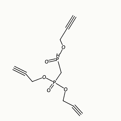 C#CCO[PH](=O)CP(=O)(OCC#C)OCC#C